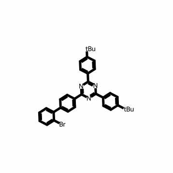 CC(C)(C)c1ccc(-c2nc(-c3ccc(-c4ccccc4Br)cc3)nc(-c3ccc(C(C)(C)C)cc3)n2)cc1